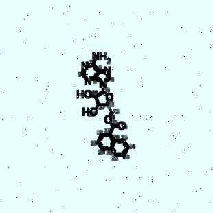 Nc1ncnc2c1ncn2[C@@H]1O[C@H](COC(=O)c2cccc3ccccc23)[C@@H](O)[C@H]1O